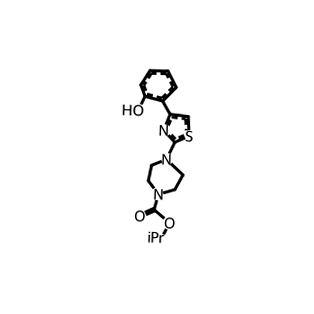 CC(C)OC(=O)N1CCN(c2nc(-c3ccccc3O)cs2)CC1